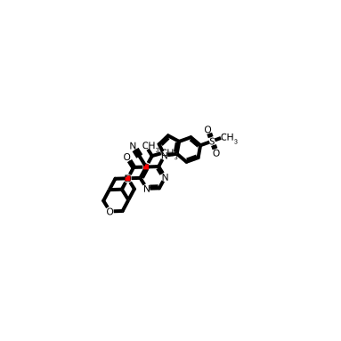 CC(C)OC(=O)N1CC2COCC(C1)C2Oc1ncnc(-n2ccc3cc(S(C)(=O)=O)ccc32)c1C#N